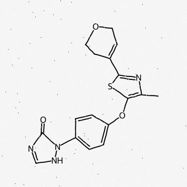 Cc1nc(C2=CCOCC2)sc1Oc1ccc(-n2[nH]cnc2=O)cc1